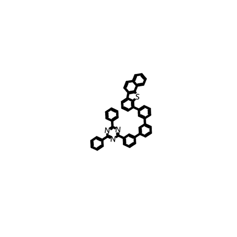 c1ccc(-c2nc(-c3ccccc3)nc(-c3cccc(-c4cccc(-c5cccc(-c6cccc7c6sc6c8ccccc8ccc76)c5)c4)c3)n2)cc1